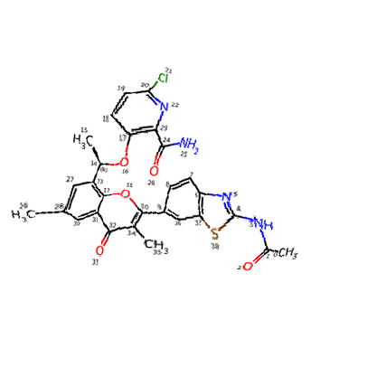 CC(=O)Nc1nc2ccc(-c3oc4c([C@@H](C)Oc5ccc(Cl)nc5C(N)=O)cc(C)cc4c(=O)c3C)cc2s1